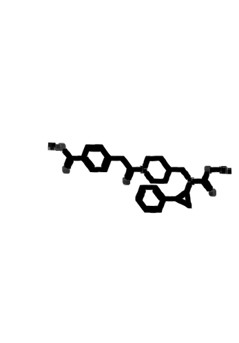 COC(=O)c1ccc(CC(=O)N2CCC(CN(C(=O)OC(C)(C)C)C3CC3c3ccccc3)CC2)cc1